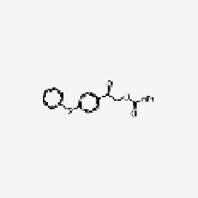 CCCC(=O)OCC(=O)c1ccc(Sc2ccccc2)cc1